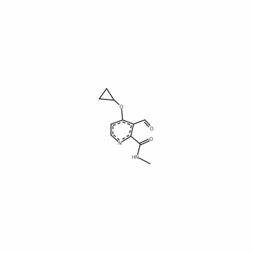 CNC(=O)c1nccc(OC2CC2)c1C=O